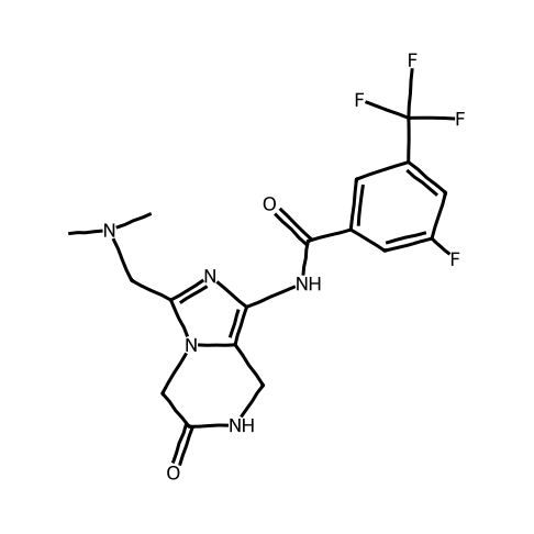 CN(C)Cc1nc(NC(=O)c2cc(F)cc(C(F)(F)F)c2)c2n1CC(=O)NC2